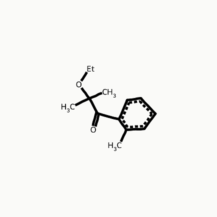 CCOC(C)(C)C(=O)c1ccccc1C